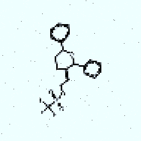 O=S(=O)(OC/C=C1\CCC(c2ccccc2)OC1c1ccccc1)C(F)(F)F